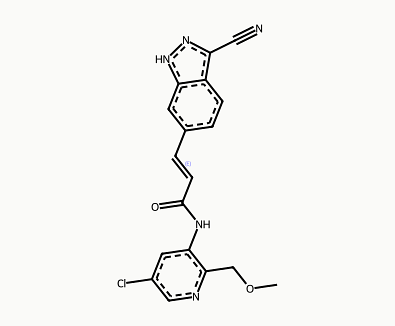 COCc1ncc(Cl)cc1NC(=O)/C=C/c1ccc2c(C#N)n[nH]c2c1